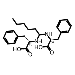 CCCCCC(N[C@@H](Cc1ccccc1)C(=O)O)N[C@@H](Cc1ccccc1)C(=O)O